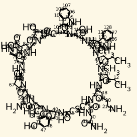 CCCC[C@H]1C(=O)N(C)[C@@H](CCCC)C(=O)N[C@@H](CCCCN)C(=O)N[C@H](C(=O)NCC(N)=O)CSCC(=O)N[C@@H](Cc2ccc(O)cc2)C(=O)N(C)[C@@H](C)C(=O)N[C@@H](CC(N)=O)C(=O)N2CCC[C@H]2C(=O)N[C@@H](Cc2c[nH]cn2)C(=O)N[C@@H](CCC(=O)O)C(=O)N2C[C@H](O)C[C@H]2C(=O)C[C@@H](Cc2c[nH]c3ccccc23)C(=O)N[C@@H](CO)C(=O)N[C@@H](Cc2c[nH]c3ccccc23)C(=O)N1C